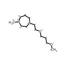 COCCCOCCN1CCCN(C)CC1